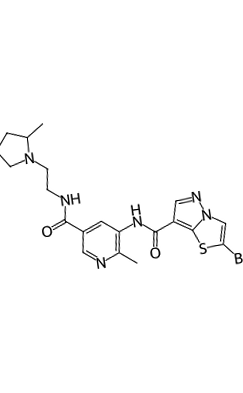 Cc1ncc(C(=O)NCCN2CCCC2C)cc1NC(=O)c1cnn2cc(Br)sc12